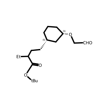 CCC(CC[C@@H]1CCC[C@H](OCC=O)C1)C(=O)OC(C)(C)C